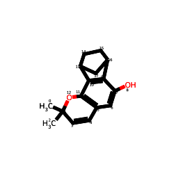 CC1(C)C=Cc2cc(O)c3c(c2O1)C1CCC3C1